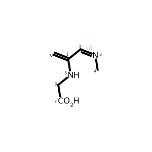 C=C(/C=N\C)NCC(=O)O